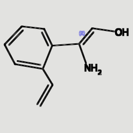 C=Cc1ccccc1/C(N)=C/O